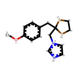 CCOc1ccc(CC2(Cn3ccnc3)SCCS2)cc1